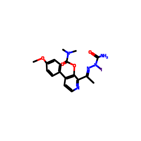 COc1ccc(-c2ccnc(C(C)=NN(I)C(N)=O)c2OC(=O)N(C)C)cc1